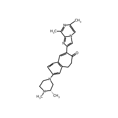 Cc1cn2cc(C3=Cc4ccc(N5CCN(C)[C@@H](C)C5)cc4CCC3=O)nc2c(C)n1